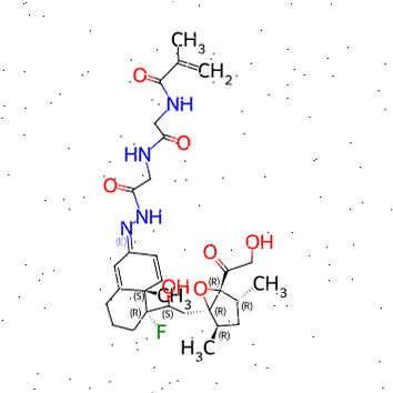 C=C(C)C(=O)NCC(=O)NCC(=O)N/N=C1\C=C[C@@]2(C)C(=C1)CCC[C@]2(F)[C@@H](O)C[C@]12O[C@]1(C(=O)CO)[C@H](C)C[C@H]2C